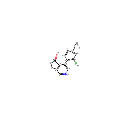 O=C1CCc2cncc(-c3ccc(C(F)(F)F)cc3F)c21